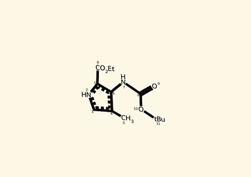 CCOC(=O)c1[nH]cc(C)c1NC(=O)OC(C)(C)C